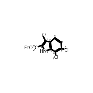 CCOC(=O)c1[nH]c2c(Cl)c(Cl)ccc2c1I